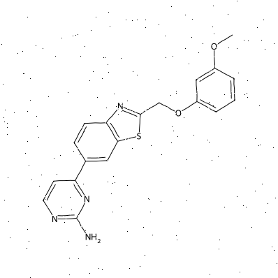 COc1cccc(OCc2nc3ccc(-c4ccnc(N)n4)cc3s2)c1